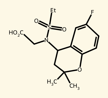 CCS(=O)(=O)N(CC(=O)O)C1CC(C)(C)Oc2ccc(F)cc21